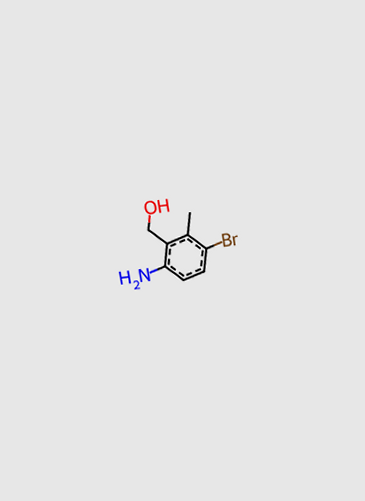 Cc1c(Br)ccc(N)c1CO